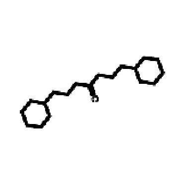 O=C(CCCC1CCCCC1)CCCC1CCCCC1